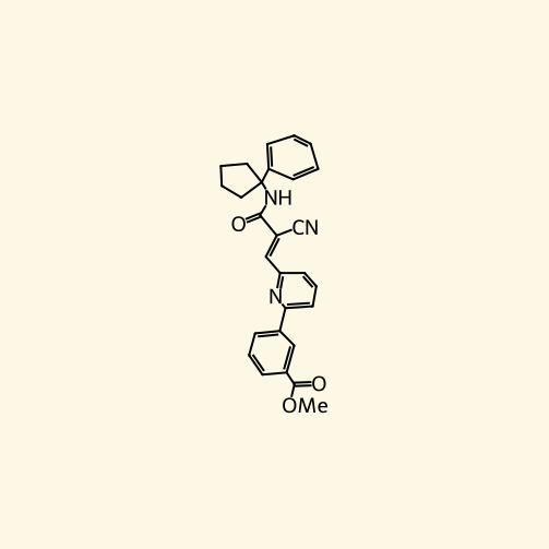 COC(=O)c1cccc(-c2cccc(/C=C(\C#N)C(=O)NC3(c4ccccc4)CCCC3)n2)c1